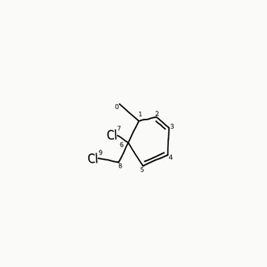 CC1C=CC=CC1(Cl)CCl